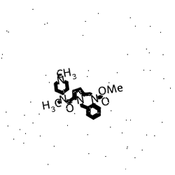 COC(=O)N1Cc2ccc(C(=O)N(C)C3CCN(C)CC3)n2Cc2ccccc21